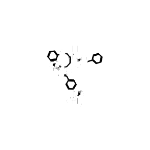 C.O=C(N[C@H]1CSc2ccccc2S(=O)(=O)OC(OC(=O)c2ccc([N+](=O)[O-])cc2)C1)OCc1ccccc1